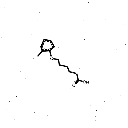 Cc1ccccc1OCCCCCC(=O)O